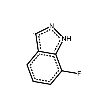 Fc1cccc2[c]n[nH]c12